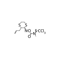 C=CCC1SCCSC1=NOC(=O)N(C)SC(Cl)(Cl)Cl